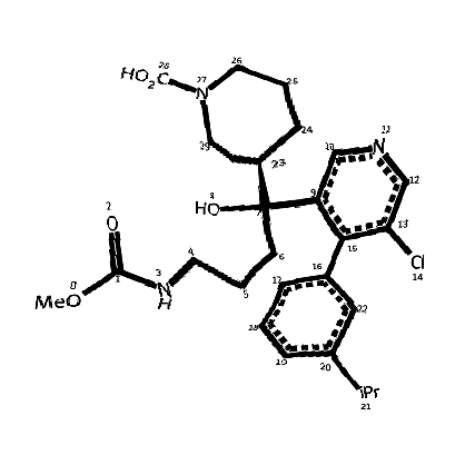 COC(=O)NCCCC(O)(c1cncc(Cl)c1-c1cccc(C(C)C)c1)[C@@H]1CCCN(C(=O)O)C1